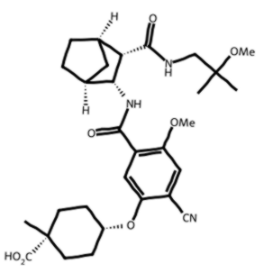 COc1cc(C#N)c(O[C@H]2CC[C@@](C)(C(=O)O)CC2)cc1C(=O)N[C@@H]1[C@H]2CC[C@H](C2)[C@@H]1C(=O)NCC(C)(C)OC